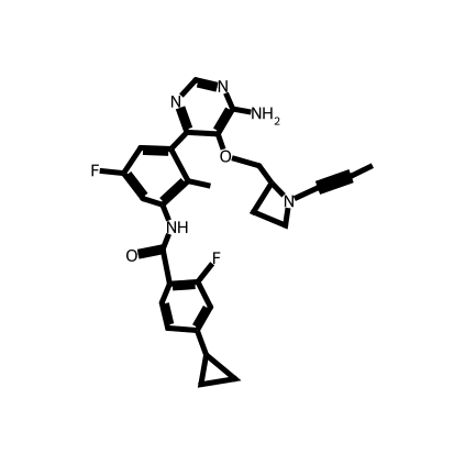 CC#CN1CCC1COc1c(N)ncnc1-c1cc(F)cc(NC(=O)c2ccc(C3CC3)cc2F)c1C